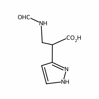 O=CNCC(C(=O)O)c1cc[nH]n1